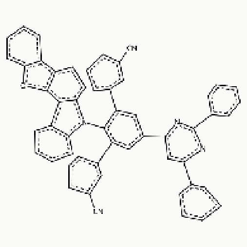 N#Cc1cccc(-c2cc(-c3cc(-c4ccccc4)nc(-c4ccccc4)n3)cc(-c3cccc(C#N)c3)c2-n2c3ccccc3c3c4oc5ccccc5c4ccc32)c1